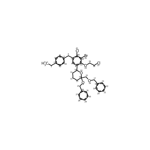 CCc1ccc(Cc2cc(C3CCCC(COCc4ccccc4)(OCc4ccccc4)O3)c(OCCCl)c(Br)c2Cl)cc1